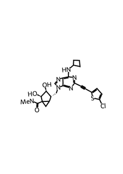 CNC(=O)C12CC1[C@@H](Cn1cnc3c(NC4CCC4)nc(C#Cc4ccc(Cl)s4)nc31)[C@H](O)[C@@H]2O